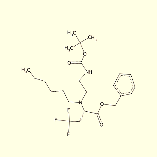 CCCCCCN(CCNC(=O)OC(C)(C)C)[C@@H](CC(F)(F)F)C(=O)OCc1ccccc1